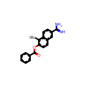 CC(C)(C)c1c(OC(=O)c2ccccc2)ccc2cc(C(=N)N)ccc12